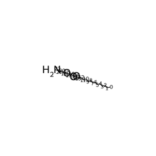 CCCCCCCCCCCCCCOOCCOCCCN